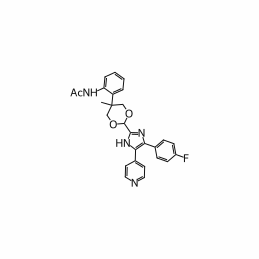 CC(=O)Nc1ccccc1C1(C)COC(c2nc(-c3ccc(F)cc3)c(-c3ccncc3)[nH]2)OC1